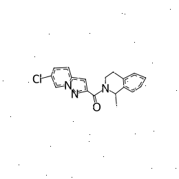 CC1c2ccccc2CCN1C(=O)c1cc2ccc(Cl)cn2n1